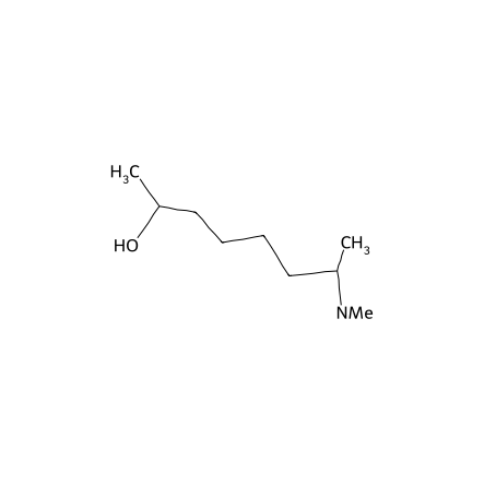 CNC(C)CCCCC(C)O